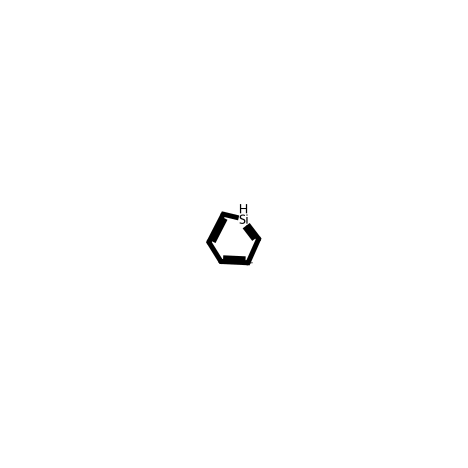 [c]1ccc[siH]c1